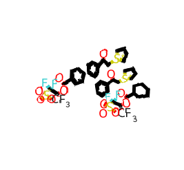 O=C(C[S+]1CCCC1)c1ccccc1.O=C(C[S+]1CCCC1)c1ccccc1.O=C(OC(C(F)(F)F)C(F)(F)S(=O)(=O)[O-])C1CCCCC1.O=C(OC(C(F)(F)F)C(F)(F)S(=O)(=O)[O-])c1ccccc1